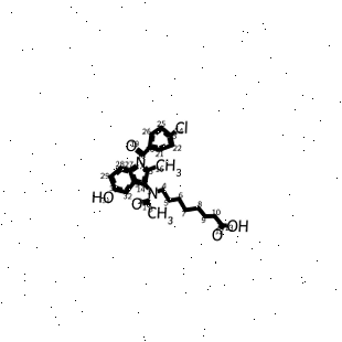 CC(=O)N(CCCCCCCC(=O)O)c1c(C)n(C(=O)c2ccc(Cl)cc2)c2ccc(O)cc12